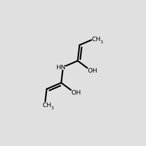 CC=C(O)NC(O)=CC